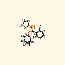 Cc1ccccc1C(=O)PC1CCCC1.[LiH].c1ccccc1